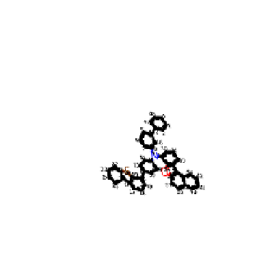 c1ccc(-c2cccc(N(c3ccc(-c4cccc5c4sc4ccccc45)cc3)c3cccc4c3oc3ccc5ccccc5c34)c2)cc1